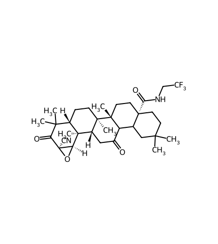 CC1(C)CC[C@]2(C(=O)NCC(F)(F)F)CC[C@]3(C)C(C(=O)C[C@@H]4[C@@]5(C)[C@H]6O[C@@]6(C#N)C(=O)C(C)(C)[C@@H]5CC[C@]43C)C2C1